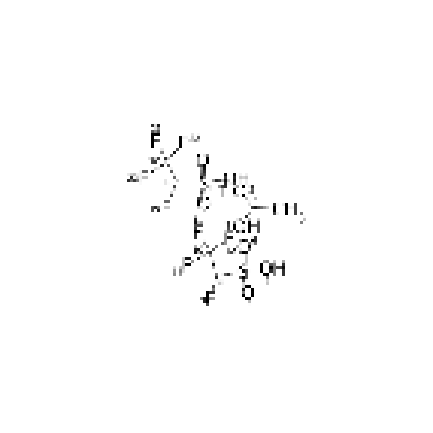 CC(O)O.O=S(=O)(O)C(F)C(F)(F)F.O=S(=O)(O)C(F)C(F)(F)F